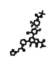 CN(C)C(=O)c1cc2c(-c3cc(F)c([C@H]4CCN(C(=O)OC(C)(C)C)CC4(F)F)cc3Cl)cc(C3=CCCN(C(=O)CCn4cccn4)C3)c(F)c2[nH]1